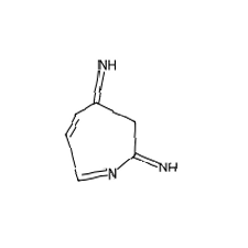 N=C1C=CC=NC(=N)C1